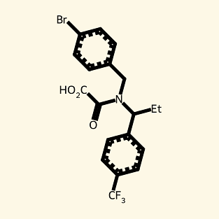 CCC(c1ccc(C(F)(F)F)cc1)N(Cc1ccc(Br)cc1)C(=O)C(=O)O